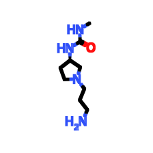 CNC(=O)N[C@@H]1CCN(CCCN)C1